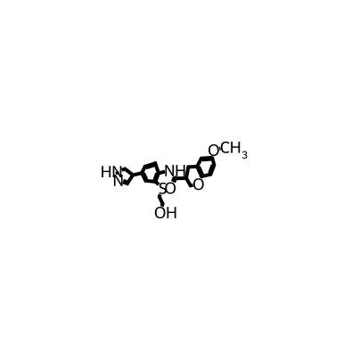 COc1ccc2c(c1)CC(C(=O)Nc1ccc(C3C=NNC3)cc1SCCO)CO2